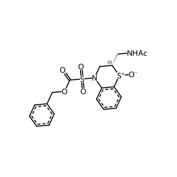 CC(=O)NC[C@H]1CN(S(=O)(=O)C(=O)OCc2ccccc2)c2ccccc2[S+]1[O-]